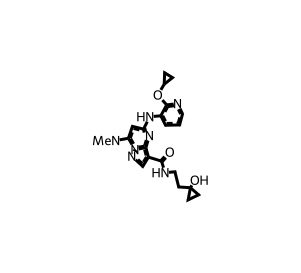 CNc1cc(Nc2cccnc2OC2CC2)nc2c(C(=O)NCCC3(O)CC3)cnn12